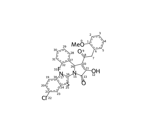 COc1ccccc1CC(=O)C1=C(O)C(=O)N(c2nc3ccc(Cl)cc3s2)C1c1ccccc1F